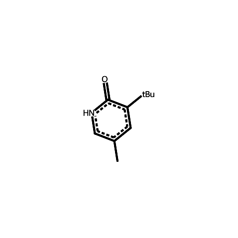 Cc1c[nH]c(=O)c(C(C)(C)C)c1